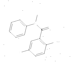 COc1ccc(F)cc1C(=O)N(C)c1ccccc1